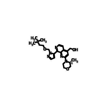 C[C@@H]1COCCN1c1cc(CO)c2ccnc(-c3ccnn3COCCS(C)(C)C)c2n1